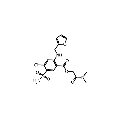 CN(C)C(=O)COC(=O)c1cc(S(N)(=O)=O)c(Cl)cc1NCc1ccco1